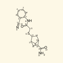 N#Cc1ccccc1NC(=O)CSC1CC2CC1CC2C(N)=O